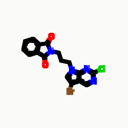 O=C1c2ccccc2C(=O)N1CCCn1cc(Br)c2cnc(Cl)nc21